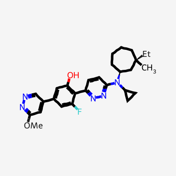 CC[C@]1(C)CCCC[C@H](N(c2ccc(-c3c(O)cc(-c4cnnc(OC)c4)cc3F)nn2)C2CC2)C1